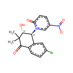 CC1(C)C(=O)c2ccc(Br)cc2[C@H](n2cc([N+](=O)[O-])ccc2=O)[C@H]1O